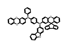 c1ccc(N(c2ccc(N(c3ccc4c(c3)C3(c5ccccc5O4)c4ccccc4-c4ccccc43)c3ccc4oc5ccccc5c4c3)cc2)c2ccc3c(c2)Oc2ccccc2O3)cc1